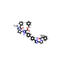 CN[C@@H](C(=O)N1CCCC1c1ncc(-c2ccc(-c3ccc(-c4[nH]c([C@@H]5CCCN5C(=O)[C@@H](C5=CC=CCC5)N(C)C)nc4C(=O)OCc4ccccc4)cc3)cc2)[nH]1)c1ccccc1